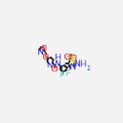 CC1[C@@](C)(S(C)(=O)=O)SC(N)=N[C@]1(C)c1cc(NC(=O)c2ccc(OCc3ncco3)cn2)cc(F)c1F